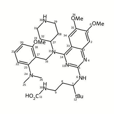 COc1cc2nc(NC(CCNC(=O)O)C(C)(C)C)nc(N(Cc3c(OC)cccc3N(C)C)C3CCNCC3)c2cc1OC